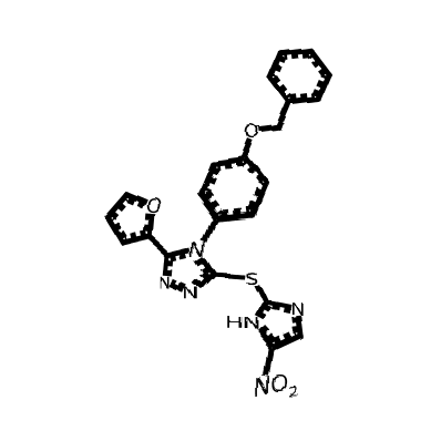 O=[N+]([O-])c1cnc(Sc2nnc(-c3ccco3)n2-c2ccc(OCc3ccccc3)cc2)[nH]1